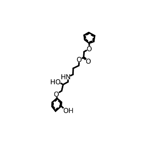 O=C(COc1ccccc1)OCCCNCC(O)COc1cccc(O)c1